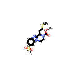 CC(C)SCCC1c2nc3ccc(S(C)(=O)=O)cc3n2CCN1C(=O)OC(C)(C)C